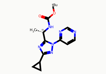 C[C@H](NC(=O)OC(C)(C)C)c1nc(C2CC2)nn1-c1ccncn1